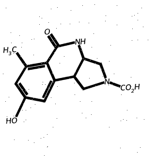 Cc1cc(O)cc2c1C(=O)NC1CN(C(=O)O)CC21